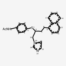 CC(=O)Nc1ccc(SC(CCc2cccc3ccccc23)Cn2ccnc2)cc1